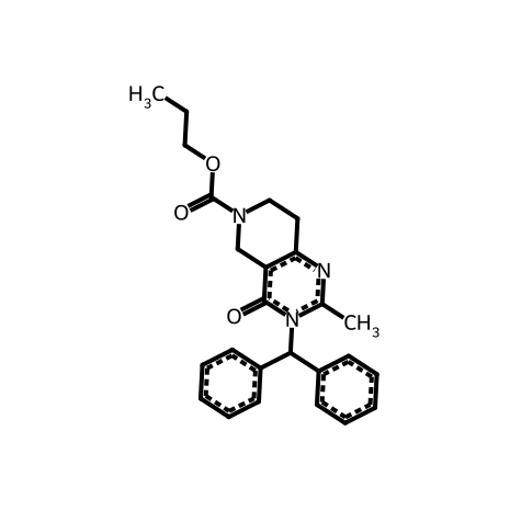 CCCOC(=O)N1CCc2nc(C)n(C(c3ccccc3)c3ccccc3)c(=O)c2C1